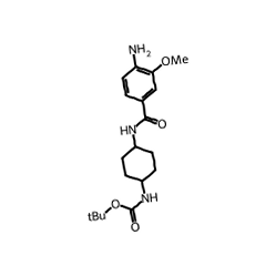 COc1cc(C(=O)NC2CCC(NC(=O)OC(C)(C)C)CC2)ccc1N